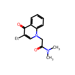 CCc1cn(CC(=O)N(C)C)c2ccccc2c1=O